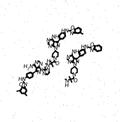 CNC(C)(C)C(=O)N1CCC(n2nc(-c3ccc(Nc4nc5cc(C)ccc5o4)cc3)c3c(N)ncnc32)CC1.CNC(C)(C)C(=O)N1CCC(n2nc(-c3ccc(Nc4nc5ccccc5o4)cc3)c3c(N)ncnc32)CC1.Cc1cc(C)c2oc(Nc3ccc(-c4nn(C5(C)N=CC=N5)c5ncnc(N)c45)cc3)nc2c1